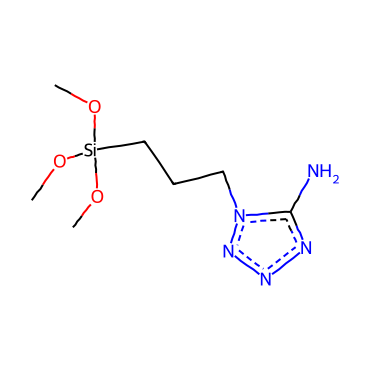 CO[Si](CCCn1nnnc1N)(OC)OC